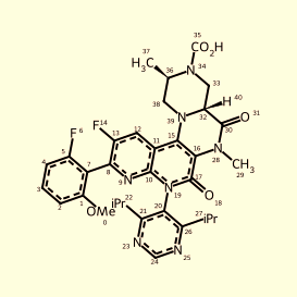 COc1cccc(F)c1-c1nc2c(cc1F)c1c(c(=O)n2-c2c(C(C)C)ncnc2C(C)C)N(C)C(=O)[C@H]2CN(C(=O)O)[C@H](C)CN12